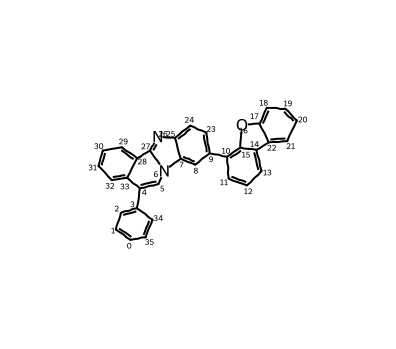 c1ccc(-c2cn3c4cc(-c5cccc6c5oc5ccccc56)ccc4nc3c3ccccc23)cc1